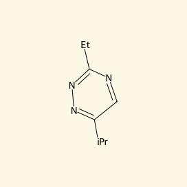 CCc1ncc(C(C)C)nn1